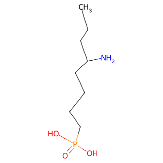 CCCC(N)CCCCP(=O)(O)O